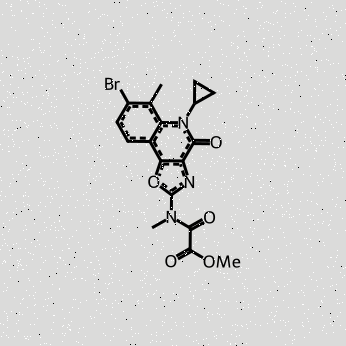 COC(=O)C(=O)N(C)c1nc2c(=O)n(C3CC3)c3c(C)c(Br)ccc3c2o1